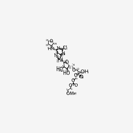 COCCOC(=O)OCOP(=O)(O)COC[C@H]1O[C@@H](n2cnc3c(N[C@H]4CCOC4)nc(Cl)nc32)[C@H](O)[C@@H]1O